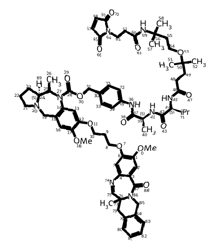 COc1cc2c(cc1OCCCOc1cc3c(cc1OC)CN1CCC[C@H]1C(C)N3C(=O)OCc1ccc(NC(=O)[C@H](C)NC(=O)[C@@H](NC(=O)CCC(C)(C)OCCC(C)(C)NC(=O)CCN3C(=O)C=CC3=O)C(C)C)cc1)N=CC1(C)Cc3ccccc3CN1C2=O